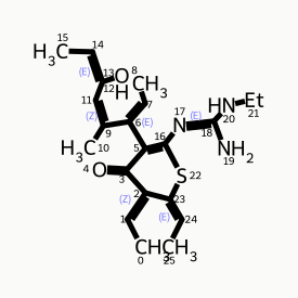 C/C=c1/c(=O)c(C(=C/C)/C(C)=C\C(O)=C/C)c(/N=C(\N)NCC)s/c1=C/C